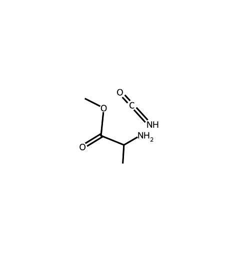 COC(=O)C(C)N.N=C=O